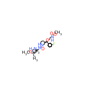 COCC(C)(C)C[C@H](N)CNC(=O)N1CCC[C@@H]([C@@H](OCCNC(=O)OC)c2cccc(F)c2)C1